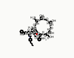 CCCCc1ccc(/C(C)=C/C(=O)N[C@@H](Cc2c[nH]c3ccccc23)C(=O)N[C@H](CC(N)=O)C(=O)N[C@@H](CC(=O)O)C(=O)N[C@@H]2C(=O)NCC(=O)N[C@@H](CCCN)C(=O)N[C@@H](CC(=O)O)C(=O)N[C@H](C)C(=O)N[C@@H](CC(=O)O)C(=O)NCC(=O)N[C@H](CO)C(=O)N[C@@H]([C@H](C)CC(=O)O)C(=O)N[C@@H](CC(=O)c3ccccc3N)C(=O)O[C@@H]2C)cc1